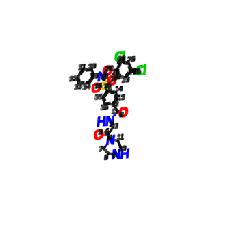 O=C(NCC(=O)N1CCNCC1)c1ccc(S(=O)(=O)N(Oc2ccc(Cl)cc2Cl)c2ccccc2)cc1